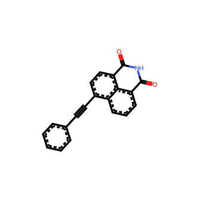 O=C1NC(=O)c2ccc(C#Cc3ccccc3)c3cccc1c23